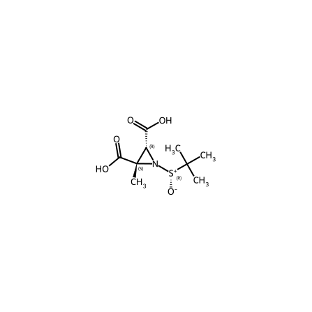 CC(C)(C)[S@+]([O-])N1[C@@H](C(=O)O)[C@@]1(C)C(=O)O